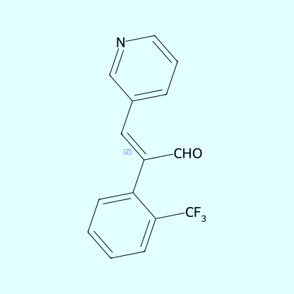 O=C/C(=C\c1cccnc1)c1ccccc1C(F)(F)F